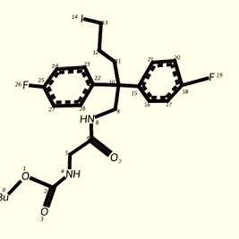 CC(C)(C)OC(=O)NCC(=O)NCC(CCCI)(c1ccc(F)cc1)c1ccc(F)cc1